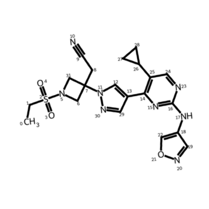 CCS(=O)(=O)N1CC(CC#N)(n2cc(-c3nc(Nc4cnoc4)ncc3C3CC3)cn2)C1